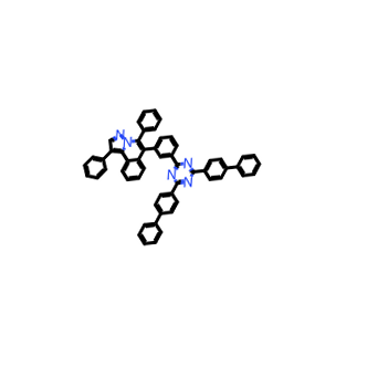 c1ccc(-c2ccc(-c3nc(-c4ccc(-c5ccccc5)cc4)nc(-c4cccc(-c5c(-c6ccccc6)n6ncc(-c7ccccc7)c6c6ccccc56)c4)n3)cc2)cc1